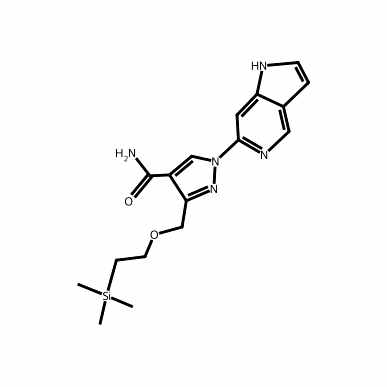 C[Si](C)(C)CCOCc1nn(-c2cc3[nH]ccc3cn2)cc1C(N)=O